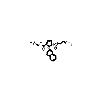 CCCC[S@+]([O-])N1CC=C(C(=O)OCC)[C@H]1c1ccc2ccccc2c1